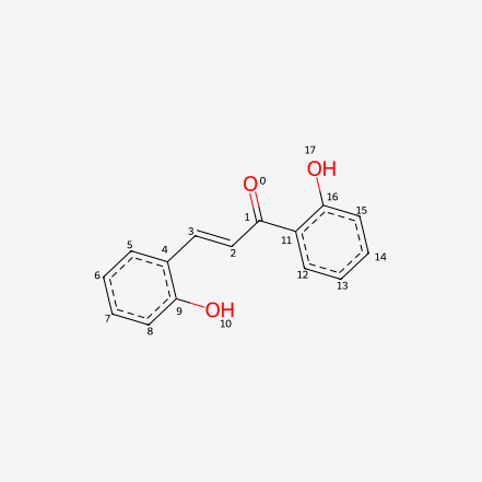 O=C(C=Cc1ccccc1O)c1ccccc1O